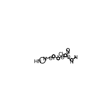 Cc1c(COc2cc(OCc3cncc(C#N)c3)c(CN3CCCCC3)cc2Cl)cccc1-c1cccc(OCCCN2CCCCCNCCCC2)c1C